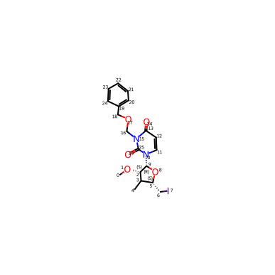 CO[C@H]1C(C)[C@@H](CI)O[C@H]1n1ccc(=O)n(COCc2ccccc2)c1=O